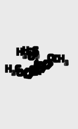 C=C[C@H](CCS(=O)(=O)N(Cc1ccc(OC)cc1)Cc1ccc(OC)cc1)OC